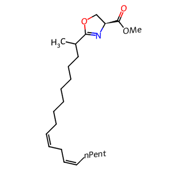 CCCCC/C=C\C/C=C\CCCCCCCC(C)C1=N[C@H](C(=O)OC)CO1